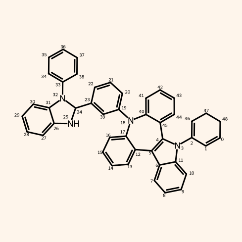 C1=CC(n2c3c(c4ccccc42)-c2ccccc2N(c2cccc(C4Nc5ccccc5N4c4ccccc4)c2)c2ccccc2-3)=CCC1